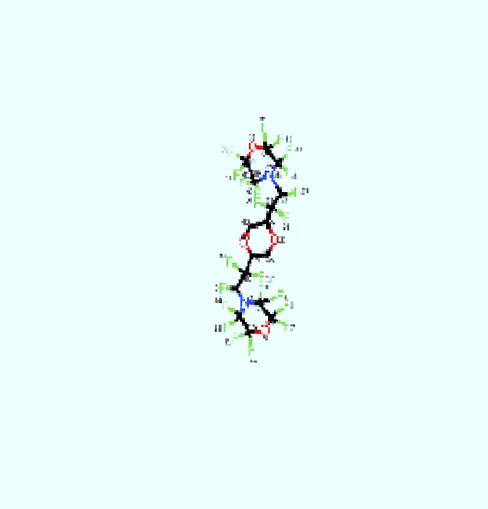 FC(N1C(F)(F)C(F)(F)OC(F)(F)C1(F)F)C(F)(F)C1COC(C(F)(F)C(F)N2C(F)(F)C(F)(F)OC(F)(F)C2(F)F)CO1